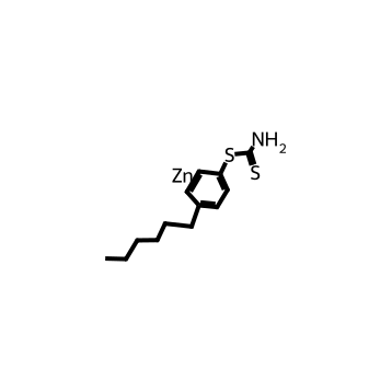 CCCCCCc1ccc(SC(N)=S)cc1.[Zn]